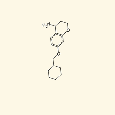 NC1CCOc2cc(OCC3CCCCC3)ccc21